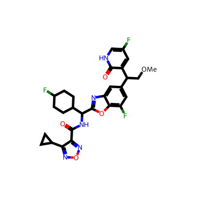 COCC(c1cc(F)c2oc(C(NC(=O)c3nonc3C3CC3)C3CCC(F)CC3)nc2c1)c1cc(F)c[nH]c1=O